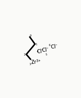 CC[CH2][Zr+3].[Cl-].[Cl-].[Cl-]